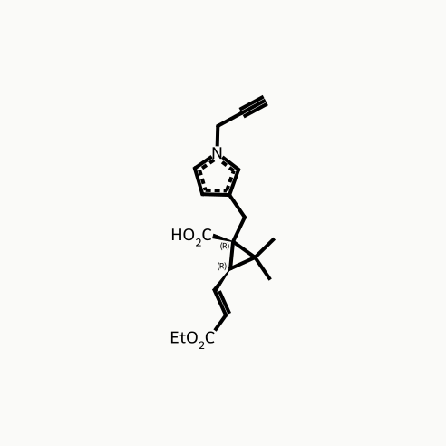 C#CCn1ccc(C[C@@]2(C(=O)O)[C@H](C=CC(=O)OCC)C2(C)C)c1